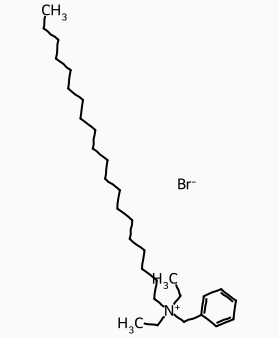 CCCCCCCCCCCCCCCCCCCC[N+](CC)(CC)Cc1ccccc1.[Br-]